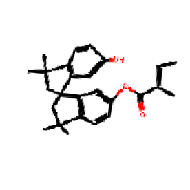 CC=C(C)C(=O)Oc1ccc2c(c1)C1(CC(C)(C)c3ccc(O)cc31)CC2(C)C